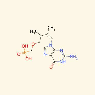 CC(COCP(=O)(O)O)C(C)Cn1cnc2c(=O)[nH]c(N)nc21